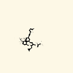 Cc1ccc(C#Cc2cccc(-c3cc(-c4nc(C(=O)O)cs4)c(CC4CC4)n3Cc3cc(F)c(S(N)(=O)=O)c(F)c3)c2)s1